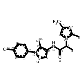 Cc1nc(C(F)(F)F)cn1C(C)C(=O)Nc1cnn(-c2ccc(Cl)cc2)c1C(C)C